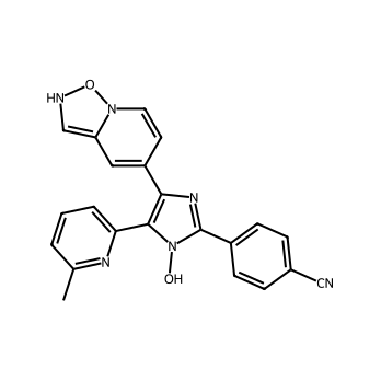 Cc1cccc(-c2c(C3=CC4=CNON4C=C3)nc(-c3ccc(C#N)cc3)n2O)n1